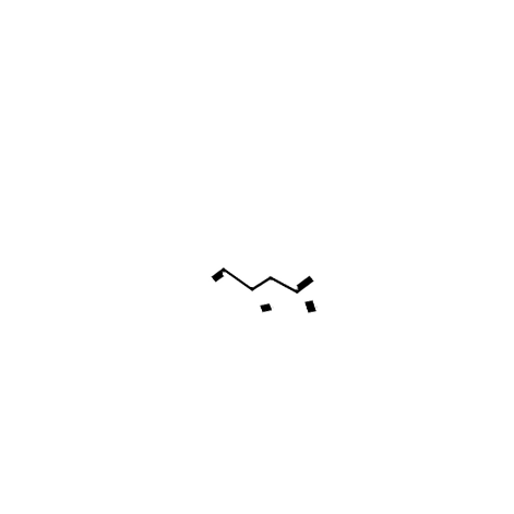 C=C.C=CCCC=C.[C-]#[O+]